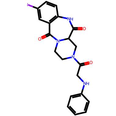 O=C1Nc2ccc(I)cc2C(=O)N2CCN(C(=O)CNc3ccccc3)CC12